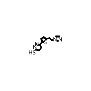 SC1=NN=C(c2ccc(CCn3ccnc3)s2)CC1